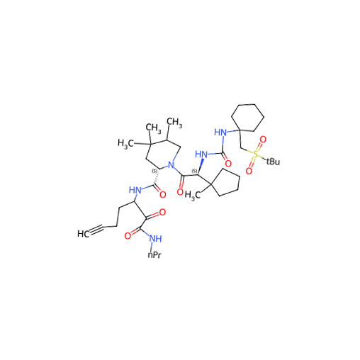 C#CCCC(NC(=O)[C@@H]1CC(C)(C)C(C)CN1C(=O)[C@@H](NC(=O)NC1(CS(=O)(=O)C(C)(C)C)CCCCC1)C1(C)CCCC1)C(=O)C(=O)NCCC